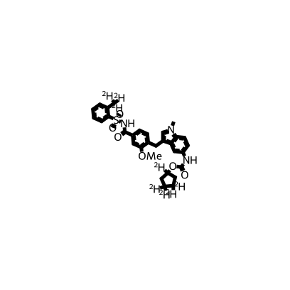 [2H]C1(OC(=O)Nc2ccc3c(c2)c(Cc2ccc(C(=O)NS(=O)(=O)c4ccccc4C([2H])([2H])[2H])cc2OC)cn3C)CC([2H])([2H])C([2H])([2H])C1